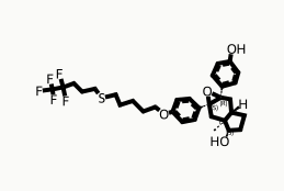 C[C@]12C[C@@]3(c4ccc(OCCCCCSCCCC(F)(F)C(F)(F)F)cc4)O[C@@]3(c3ccc(O)cc3)C[C@@H]1CC[C@@H]2O